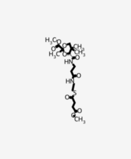 COC(=O)CCC(=O)SCCNC(=O)CCNC(=O)[C@@H]1OC(C)(C(=O)OC)OCC1(C)C